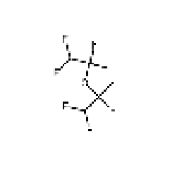 CC(F)(OC(C)(F)C(F)F)C(F)F